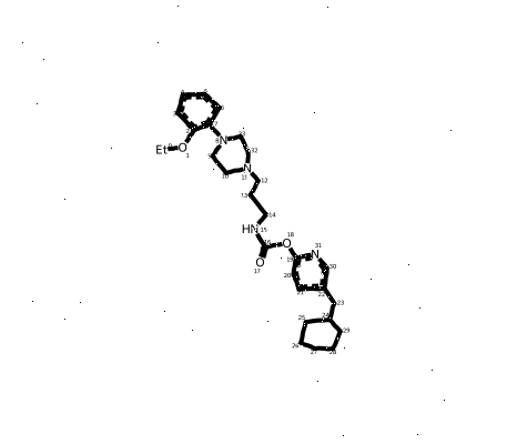 CCOc1ccccc1N1CCN(CCCNC(=O)Oc2ccc(CC3CCCCC3)cn2)CC1